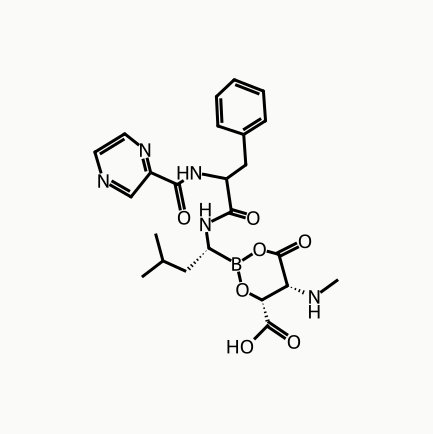 CN[C@H]1C(=O)OB([C@H](CC(C)C)NC(=O)C(Cc2ccccc2)NC(=O)c2cnccn2)O[C@H]1C(=O)O